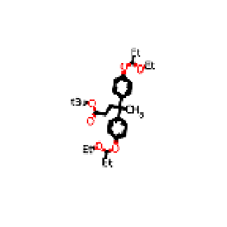 CCOC(CC)Oc1ccc(C(C)(CCC(=O)OC(C)(C)C)c2ccc(OC(CC)OCC)cc2)cc1